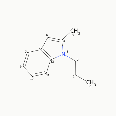 CCCn1c(C)cc2[c]cccc21